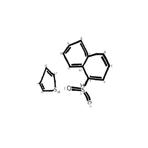 O=[SH](=O)c1cccc2ccccc12.c1ccsc1